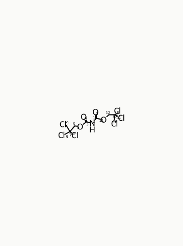 O=C(NC(=O)OCC(Cl)(Cl)Cl)OCC(Cl)(Cl)Cl